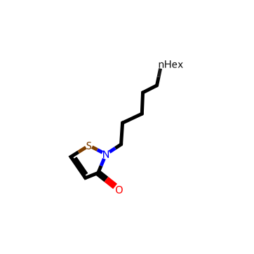 CCCCCCCCCCCn1sccc1=O